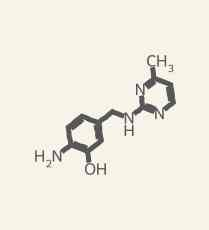 Cc1ccnc(NCc2ccc(N)c(O)c2)n1